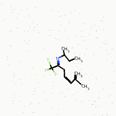 C=C(C)/C=C\C/C(=N\C(C)CC)C(F)(F)F